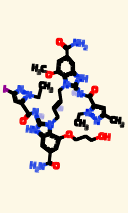 CCn1nc(C)cc1C(=O)/N=c1\[nH]c2cc(C(N)=O)cc(OC)c2n1C/C=C/Cn1/c(=N/C(=O)c2cc(I)nn2CC)[nH]c2cc(C(N)=O)cc(OCCCO)c21